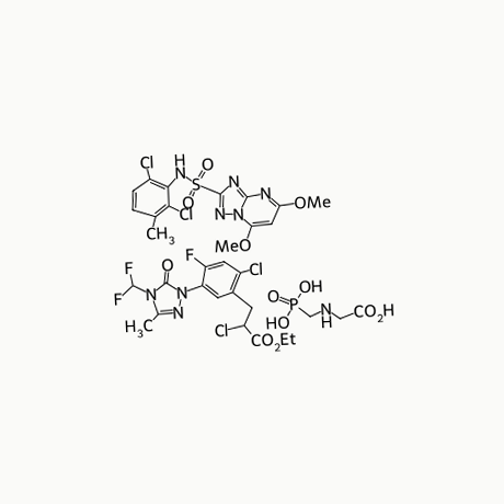 CCOC(=O)C(Cl)Cc1cc(-n2nc(C)n(C(F)F)c2=O)c(F)cc1Cl.COc1cc(OC)n2nc(S(=O)(=O)Nc3c(Cl)ccc(C)c3Cl)nc2n1.O=C(O)CNCP(=O)(O)O